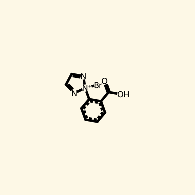 O=C(O)c1ccccc1[N+]1(Br)N=CC=N1